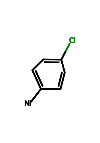 Clc1cc[c]([Ni])cc1